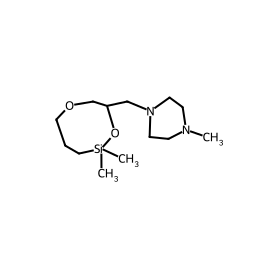 CN1CCN(CC2COCCC[Si](C)(C)O2)CC1